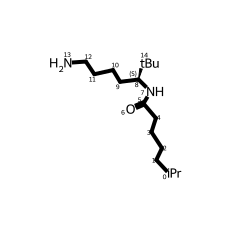 CC(C)CCCCC(=O)N[C@@H](CCCCN)C(C)(C)C